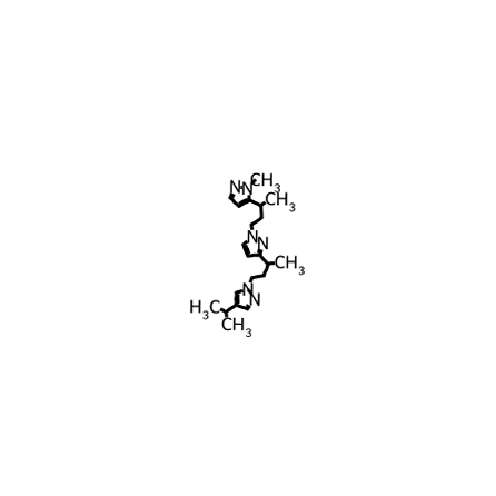 CC(C)c1cnn(CCC(C)c2ccn(CCC(C)c3ccnn3C)n2)c1